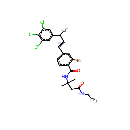 CC(C)(CC(=O)NCC(F)(F)F)NC(=O)c1ccc(/C=C/C(c2cc(Cl)c(Cl)c(Cl)c2)C(F)(F)F)cc1Br